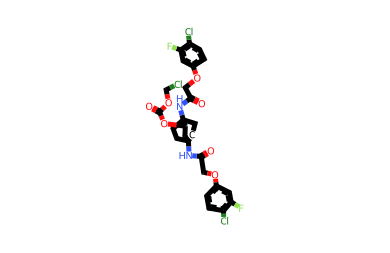 O=C(COc1ccc(Cl)c(F)c1)NC12CCC(NC(=O)COc3ccc(Cl)c(F)c3)(CC1)C(OC(=O)OCCl)C2